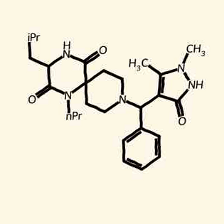 CCCN1C(=O)C(CC(C)C)NC(=O)C12CCN(C(c1ccccc1)c1c(C)n(C)[nH]c1=O)CC2